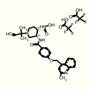 C#CC(C)(C)N1CC[C@H](C(=O)NO)[C@H](NC(=O)c2ccc(OCc3cc(C)nc4ccccc34)cc2)C1.O=C(O)C(F)(F)F.O=C(O)C(F)(F)F